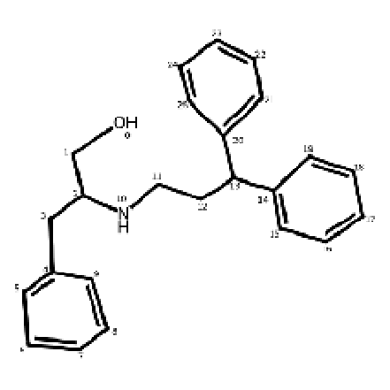 OCC(Cc1ccccc1)NCCC(c1ccccc1)c1ccccc1